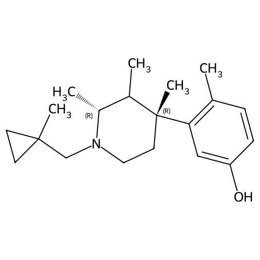 Cc1ccc(O)cc1[C@]1(C)CCN(CC2(C)CC2)[C@H](C)C1C